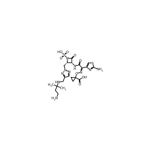 CC(C)(CCN)NCc1cnn(C[C@@H]2[C@H](NC(=O)C(=NOC3(C(=O)O)CC3)c3csc(N)n3)C(=O)N2S(=O)(=O)O)n1